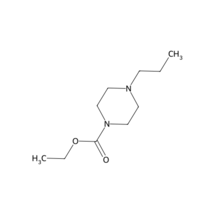 CCCN1CCN(C(=O)OCC)CC1